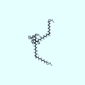 CCCCCCCC/C=C\CCCCCCCC(=O)C(C(=O)CCCCCCC/C=C\CCCCCCCC)=C(CN(C)C)C(=O)O